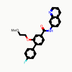 COCCOc1cc(C(=O)Nc2ccc3cccnc3c2)ccc1-c1ccc(F)cc1